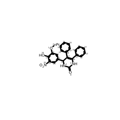 CCCOc1cc(C2NC(=O)NC(c3ccccc3)=C2c2ccccc2)cc([N+](=O)[O-])c1O